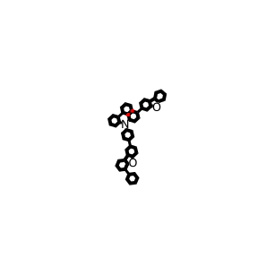 c1ccc(-c2ccccc2N(c2ccc(-c3ccc4c(c3)oc3ccccc34)cc2)c2ccc(-c3ccc4oc5c(-c6ccccc6)cccc5c4c3)cc2)cc1